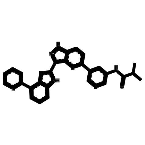 CC(C)C(=O)Nc1cncc(-c2ccc3[nH]nc(-c4nc5c(-c6ccccn6)cccc5[nH]4)c3n2)c1